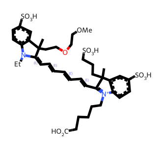 CCN1/C(=C/C=C/C=C/C=C/C2=[N+](CCCCCC(=O)O)c3ccc(S(=O)(=O)O)cc3C2(C)CCCS(=O)(=O)O)C(C)(CCOCCOC)c2cc(S(=O)(=O)O)ccc21